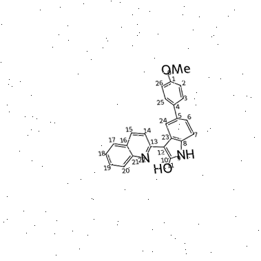 COc1ccc(-c2ccc3[nH]c(O)c(-c4ccc5ccccc5n4)c3c2)cc1